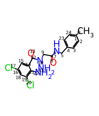 Cc1ccc(CNC(=O)CN(N)C(=O)c2cc(Cl)cc(Cl)c2N)cc1